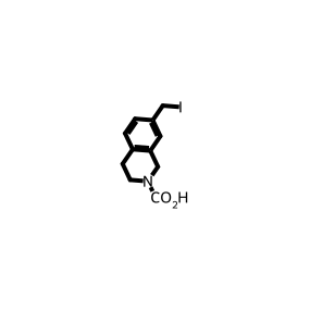 O=C(O)N1CCc2ccc(CI)cc2C1